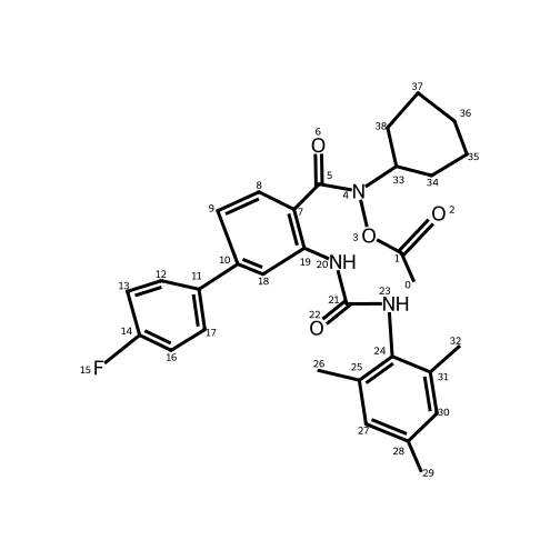 CC(=O)ON(C(=O)c1ccc(-c2ccc(F)cc2)cc1NC(=O)Nc1c(C)cc(C)cc1C)C1CCCCC1